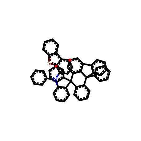 c1ccc(N(c2ccccc2C2(c3ccccc3)c3ccccc3C3(c4ccccc4)c4ccccc4-c4cccc2c43)c2cccc3c2sc2ccccc23)cc1